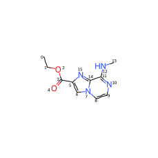 CCOC(=O)c1cn2ccnc(NC)c2n1